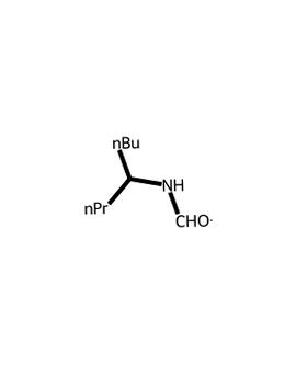 CCCCC(CCC)N[C]=O